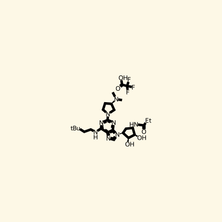 CCC(=O)N[C@H]1C[C@@H](n2cnc3c(NCCC(C)(C)C)nc(N4CC[C@@H](N(C)C)C4)nc32)[C@H](O)[C@@H]1O.O=C(O)C(F)(F)F